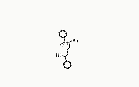 CC(C)(C)N(CCCC(O)c1ccccc1)C(=O)c1ccccc1